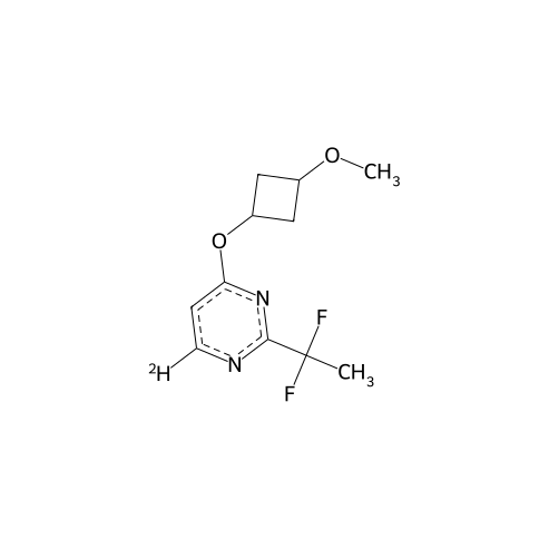 [2H]c1cc(OC2CC(OC)C2)nc(C(C)(F)F)n1